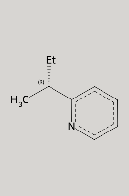 CC[C@@H](C)c1ccccn1